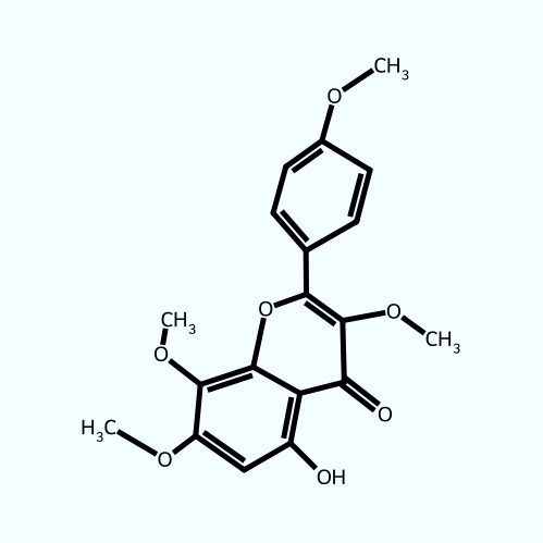 COc1ccc(-c2oc3c(OC)c(OC)cc(O)c3c(=O)c2OC)cc1